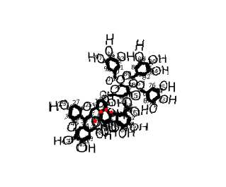 O=C(OC1OC2COC(=O)c3cc(Oc4c(-c5cc(O)c(O)c(O)c5)[o+]c5cc(O)cc6c5c4-c4c(C(=O)O)cc(O)c(O)c4O6)c(O)c(O)c3-c3c(cc(O)c(O)c3O)C(=O)OC2C(OC(=O)c2cc(O)c(O)c(O)c2)C1OC(=O)c1cc(O)c(O)c(O)c1)c1cc(O)c(O)c(O)c1